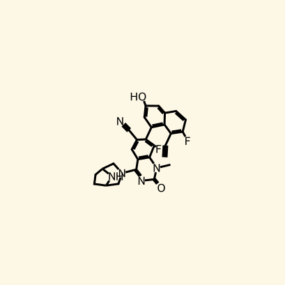 C#Cc1c(F)ccc2cc(O)cc(-c3c(C#N)cc4c(N5CC6CCC(C5)N6)nc(=O)n(C)c4c3F)c12